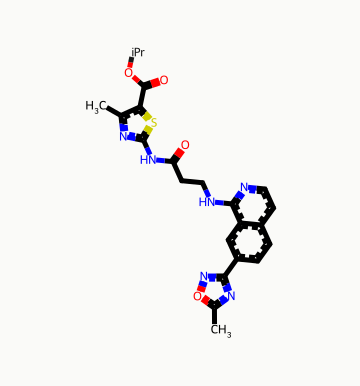 Cc1nc(-c2ccc3ccnc(NCCC(=O)Nc4nc(C)c(C(=O)OC(C)C)s4)c3c2)no1